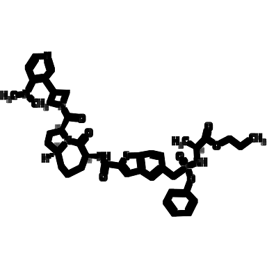 CCCOC(=O)[C@H](C)NP(=O)(Cc1ccc2sc(C(=O)N[C@H]3CCC[C@H]4CC[C@@H](C(=O)N5CC(c6cnccc6N(C)C)C5)N4C3=O)cc2c1)Oc1ccccc1